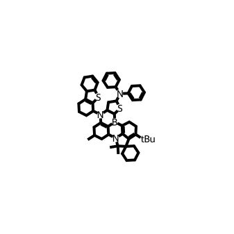 CC1CC2=C3B(C4=C5C(=C(C(C)(C)C)CC4)C4(CCCCC4)C(C)(C)N5C3C1)C1SC(N(C3=CC=CCC3)C3C=CC=CC3)CC1N2C1CCCC2=C1SC1C=CCCC21